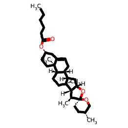 CCCCCC(=O)O[C@H]1CC[C@@]2(C)C(=CC[C@@H]3[C@@H]4C[C@@H]5O[C@]6(CC[C@@H](C)CO6)[C@@H](C)[C@@H]5[C@@]4(C)CC[C@@H]32)C1